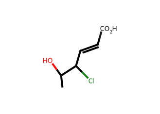 CC(O)C(Cl)C=CC(=O)O